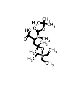 CC[Si](CC)(CC)OC(C)(C)CC(C(=O)O)N(C)C(=O)OC(C)(C)C